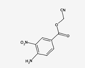 N#CCOC(=O)c1ccc(N)c([N+](=O)[O-])c1